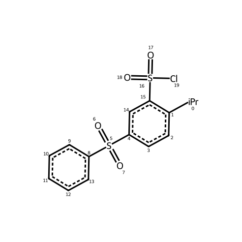 CC(C)c1ccc(S(=O)(=O)c2ccccc2)cc1S(=O)(=O)Cl